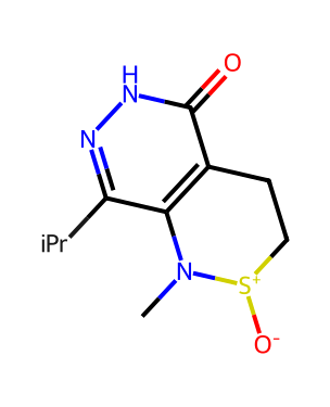 CC(C)c1n[nH]c(=O)c2c1N(C)[S+]([O-])CC2